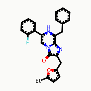 CCc1ccc(Cc2nc3c(Cc4ccccc4)[nH]c(-c4ccccc4F)cn-3c2=O)o1